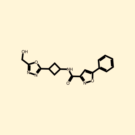 O=C(NC1CC(c2nnc(CO)o2)C1)c1cc(-c2ccccc2)on1